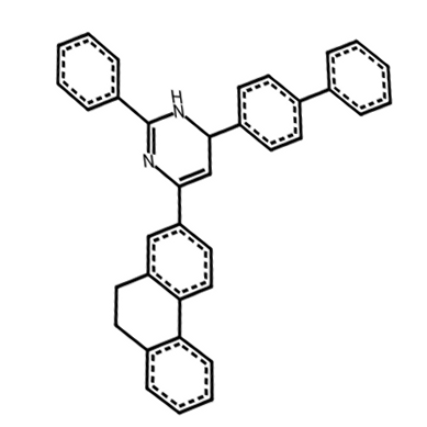 C1=C(c2ccc3c(c2)CCc2ccccc2-3)N=C(c2ccccc2)NC1c1ccc(-c2ccccc2)cc1